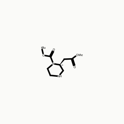 COC(=O)C[C@H]1CNCCN1C(=O)OC(C)(C)C